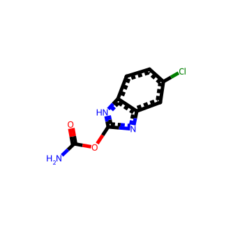 NC(=O)Oc1nc2cc(Cl)ccc2[nH]1